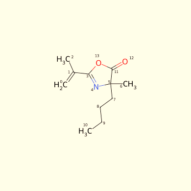 C=C(C)C1=NC(C)(CCCC)C(=O)O1